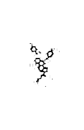 CC(C)=CCCC(C)C1CCC2C3CC(OC(=O)c4ccc(N)cc4)C4CC(OC(=O)c5ccc(N)cc5)CCC4(C)C3CCC12C